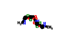 CCCNc1cccc(COc2c(Cl)cc(CC(=O)OC(=O)CNC(=O)c3cc(Cl)c(OCc4cccc(NCCC)c4)c(Cl)c3)cc2Cl)c1